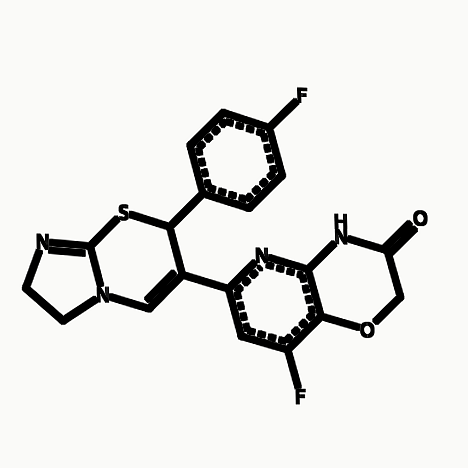 O=C1COc2c(F)cc(C3=CN4CCN=C4SC3c3ccc(F)cc3)nc2N1